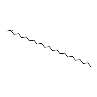 C[CH]CCCCCCCCCCCCCCCCCCCCC